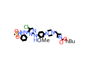 CCCCOC(=O)N1CC(CN2CCN(c3ccc(Nc4ncc(Cl)c(Nc5ccccc5N(C)S(C)(=O)=O)n4)c(OC)c3)CC2)C1